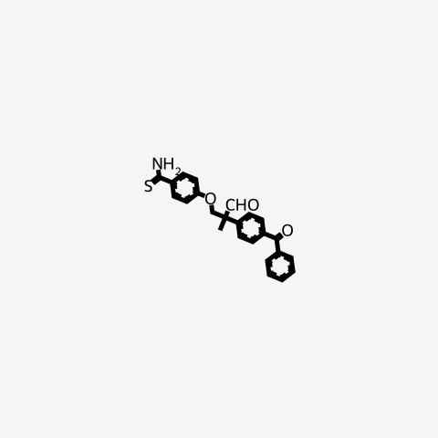 CC(C=O)(COc1ccc(C(N)=S)cc1)c1ccc(C(=O)c2ccccc2)cc1